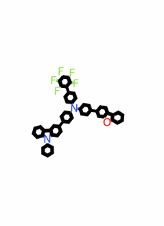 Fc1c(F)c(F)c(-c2ccc(N(c3ccc(-c4ccc5c(c4)oc4ccccc45)cc3)c3ccc(-c4ccc5c(c4)c4ccccc4n5-c4ccccc4)cc3)cc2)c(F)c1F